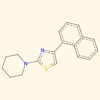 c1ccc2c(-c3csc(N4CCCCC4)n3)cccc2c1